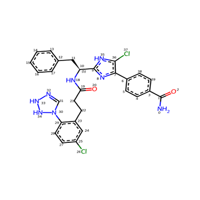 NC(=O)c1ccc(-c2nc([C@H](Cc3ccccc3)NC(=O)CCc3cc(Cl)ccc3N3C=NNN3)[nH]c2Cl)cc1